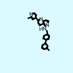 Cc1cccc(-c2ccc(CNc3nccc4nc(-c5ccnc(C)c5)ccc34)cc2)c1